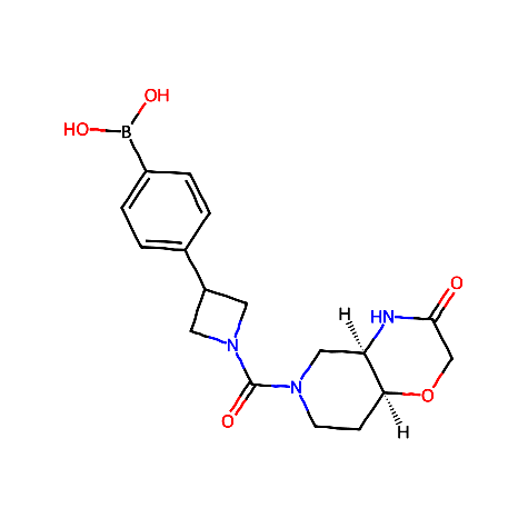 O=C1CO[C@H]2CCN(C(=O)N3CC(c4ccc(B(O)O)cc4)C3)C[C@H]2N1